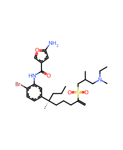 C=C(CCC[C@](C)(CCC)c1ccc(Br)c(NC(=O)c2coc(N)c2)c1)S(=O)(=O)CC(C)CN(C)CC